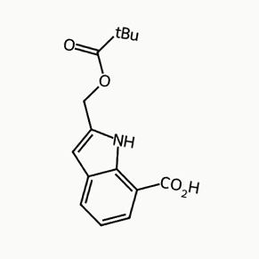 CC(C)(C)C(=O)OCc1cc2cccc(C(=O)O)c2[nH]1